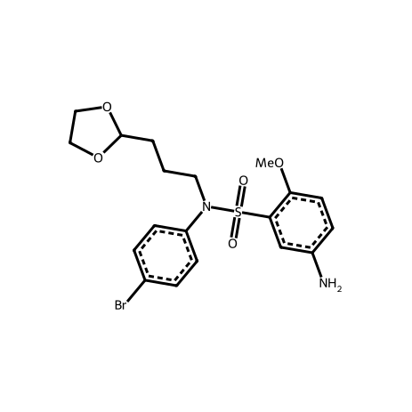 COc1ccc(N)cc1S(=O)(=O)N(CCCC1OCCO1)c1ccc(Br)cc1